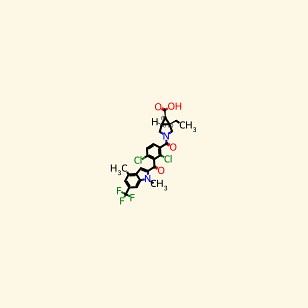 CC[C@@]12CN(C(=O)c3ccc(Cl)c(C(=O)c4cc5c(C)cc(C(F)(F)F)cc5n4C)c3Cl)C[C@H]1[C@H]2C(=O)O